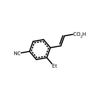 CCc1cc(C#N)ccc1C=CC(=O)O